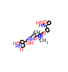 CCn1nc(COc2cccc([C@@H](NC(=O)O)c3ccccc3)c2)cc1C(=O)N(C)CCCNC[C@H](O)c1ccc(O)c2[nH]c(=O)ccc12